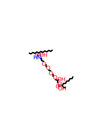 CCCCCCCC(CCCCC)P(=O)(O)NCCCOCCOCCOCCOCC(O)COP(=O)(O)C(CC)CCCCCCC